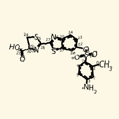 Cc1cc(N)ccc1S(=O)(=O)Oc1ccc2nc(C3=N[C@@H](C(=O)O)CS3)sc2c1